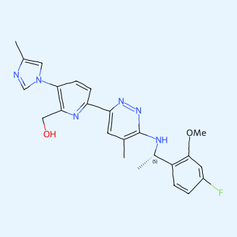 COc1cc(F)ccc1[C@H](C)Nc1nnc(-c2ccc(-n3cnc(C)c3)c(CO)n2)cc1C